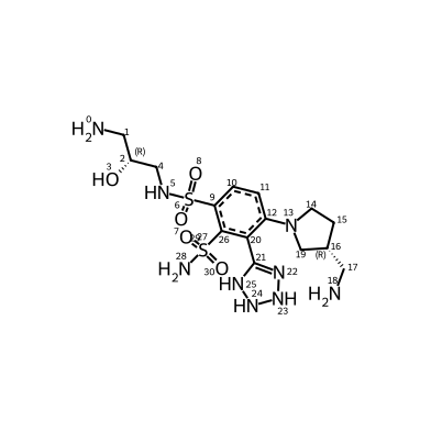 NC[C@@H](O)CNS(=O)(=O)c1ccc(N2CC[C@H](CN)C2)c(C2=NNNN2)c1S(N)(=O)=O